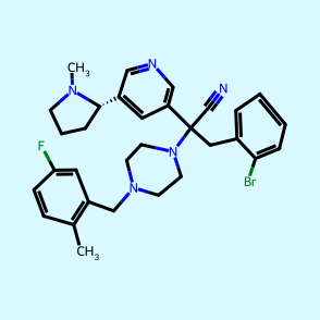 Cc1ccc(F)cc1CN1CCN(C(C#N)(Cc2ccccc2Br)c2cncc([C@@H]3CCCN3C)c2)CC1